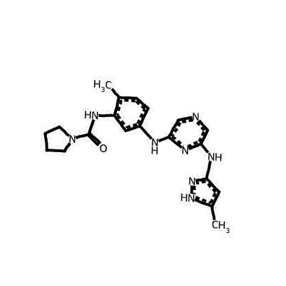 Cc1cc(Nc2cncc(Nc3ccc(C)c(NC(=O)N4CCCC4)c3)n2)n[nH]1